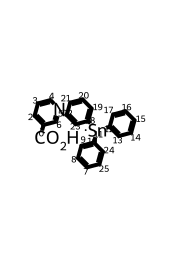 O=C(O)c1cccnc1.c1cc[c]([Sn]([c]2ccccc2)[c]2ccccc2)cc1